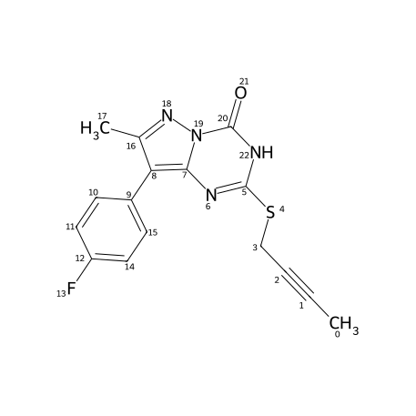 CC#CCSc1nc2c(-c3ccc(F)cc3)c(C)nn2c(=O)[nH]1